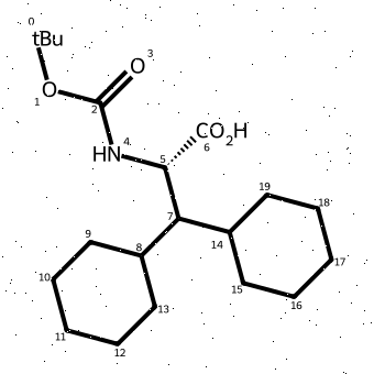 CC(C)(C)OC(=O)N[C@H](C(=O)O)C(C1CCCCC1)C1CCCCC1